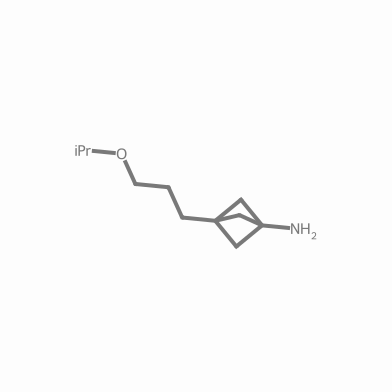 CC(C)OCCCC12CC(N)(C1)C2